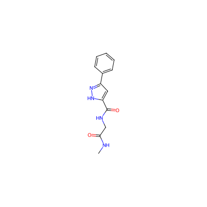 CNC(=O)CNC(=O)c1cc(-c2ccccc2)n[nH]1